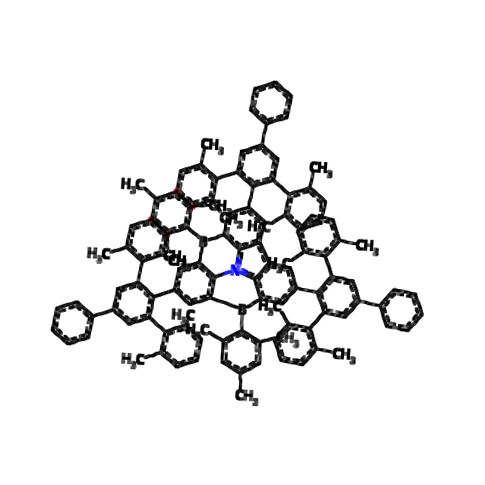 Cc1cc(C)c(B2c3cc(-c4c(-c5c(C)cccc5C)cc(-c5ccccc5)cc4-c4c(C)cccc4C)cc4c3-n3c5c2cc(-c2c(-c6c(C)cccc6C)cc(-c6ccccc6)cc2-c2c(C)cccc2C)cc5c2cc(-c5c(-c6c(C)cccc6C)cc(-c6ccccc6)cc5-c5c(C)cccc5C)cc(c23)B4c2c(C)cc(C)cc2C)c(C)c1